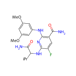 COc1cc(Nc2nc(NC(C(N)=O)C(C)C)c(F)cc2C(N)=O)cc(OC)c1